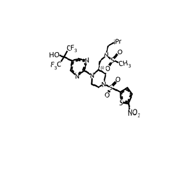 CC(C)CN(C[C@H]1CN(S(=O)(=O)c2ccc([N+](=O)[O-])s2)CCN1c1ncc(C(O)(C(F)(F)F)C(F)(F)F)cn1)S(C)(=O)=O